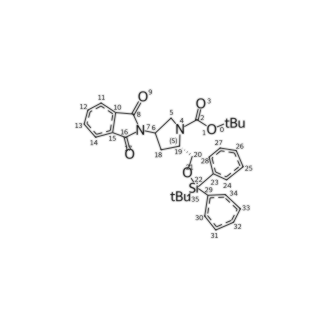 CC(C)(C)OC(=O)N1CC(N2C(=O)c3ccccc3C2=O)C[C@H]1CO[Si](c1ccccc1)(c1ccccc1)C(C)(C)C